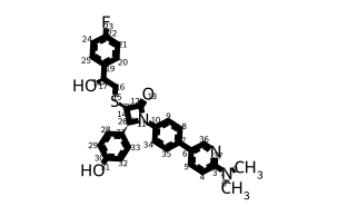 CN(C)c1ccc(-c2ccc(N3C(=O)[C@H](SC[C@@H](O)c4ccc(F)cc4)[C@H]3c3ccc(O)cc3)cc2)cn1